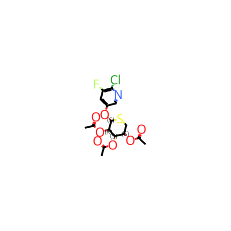 CC(=O)O[C@@H]1[C@@H](OC(C)=O)[C@@H](Oc2cnc(Cl)c(F)c2)SC[C@H]1OC(C)=O